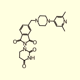 Cc1cc(N2CCN(Cc3ccc4c(c3)C(=O)N(N3CCC(=O)NC3=O)C4=O)CC2)cc(C)n1